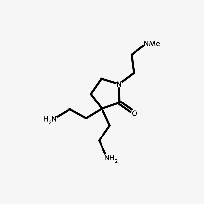 CNCCN1CCC(CCN)(CCN)C1=O